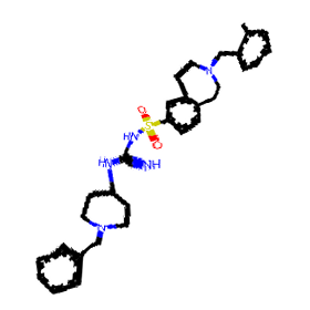 Cc1ccccc1CN1CCc2ccc(S(=O)(=O)NC(=N)NC3CCN(Cc4ccccc4)CC3)cc2CC1